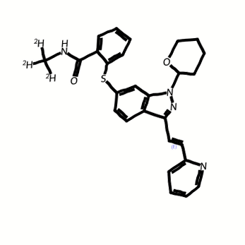 [2H]C([2H])([2H])NC(=O)c1ccccc1Sc1ccc2c(/C=C/c3ccccn3)nn(C3CCCCO3)c2c1